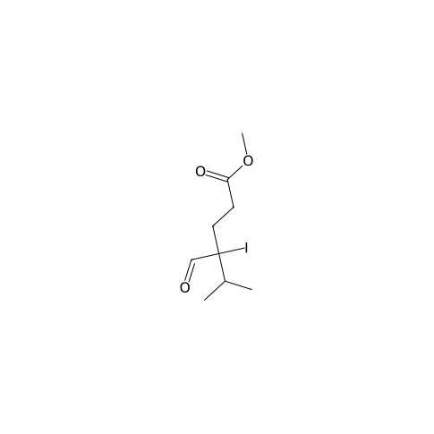 COC(=O)CCC(I)(C=O)C(C)C